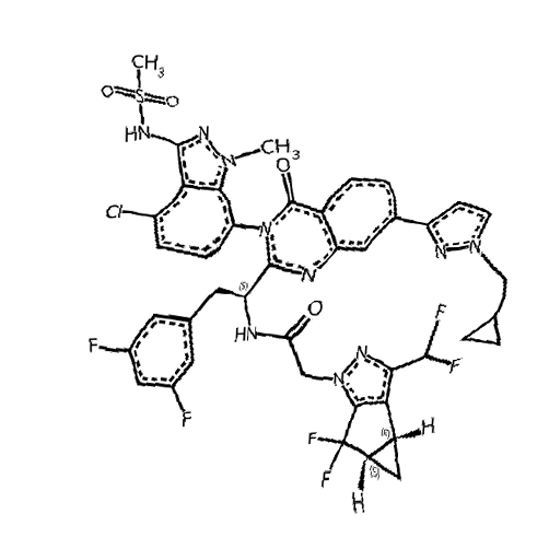 Cn1nc(NS(C)(=O)=O)c2c(Cl)ccc(-n3c([C@H](Cc4cc(F)cc(F)c4)NC(=O)Cn4nc(C(F)F)c5c4C(F)(F)[C@H]4C[C@@H]54)nc4cc(-c5ccn(CC6CC6)n5)ccc4c3=O)c21